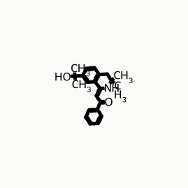 CC1(C)Cc2ccc(C(C)(C)O)cc2/C(=C/C(=O)c2ccccc2)N1